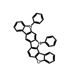 c1ccc(-n2c3ccccc3c3cc4c5ccc6oc7ccccc7c6c5n(-c5ccccc5)c4cc32)cc1